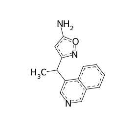 CC(c1cc(N)on1)c1cncc2ccccc12